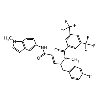 CN(C(=O)c1cc(C(F)(F)F)cc(C(F)(F)F)c1)C(C=CC(=O)Nc1ccc2c(ccn2C)c1)Cc1ccc(Cl)cc1